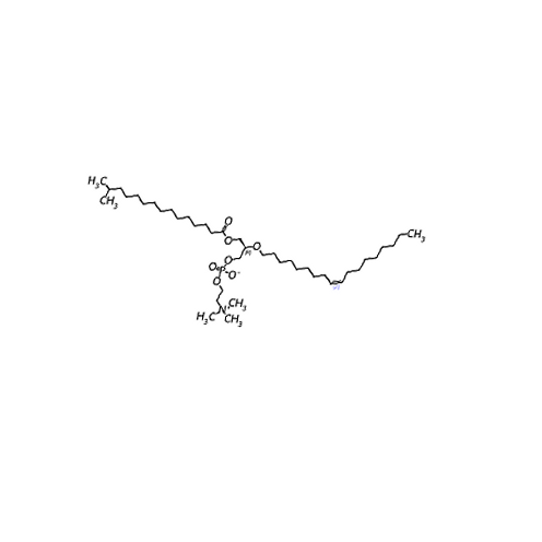 CCCCCCCC/C=C\CCCCCCCCO[C@H](COC(=O)CCCCCCCCCCCCC(C)C)COP(=O)([O-])OCC[N+](C)(C)C